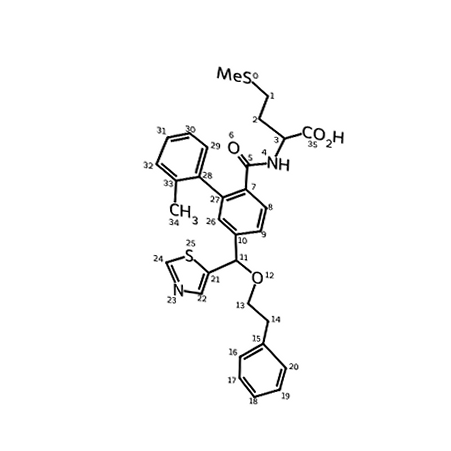 CSCCC(NC(=O)c1ccc(C(OCCc2ccccc2)c2cncs2)cc1-c1ccccc1C)C(=O)O